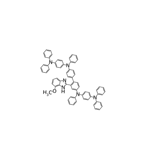 COc1cccc2nc(-c3cc(N(c4ccccc4)c4ccc(N(c5ccccc5)c5ccccc5)cc4)ccc3-c3ccc(N(c4ccccc4)c4ccc(N(c5ccccc5)c5ccccc5)cc4)cc3)[nH]c12